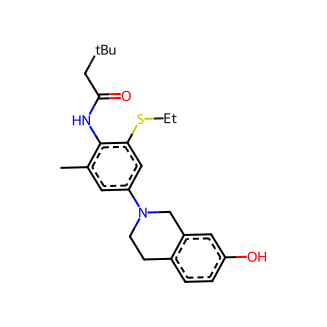 CCSc1cc(N2CCc3ccc(O)cc3C2)cc(C)c1NC(=O)CC(C)(C)C